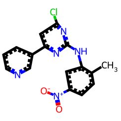 Cc1ccc([N+](=O)[O-])cc1Nc1nc(Cl)cc(-c2cccnc2)n1